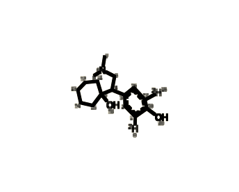 [2H]c1cc(C(CN(C)C)C2(O)CCCCC2)cc([2H])c1O